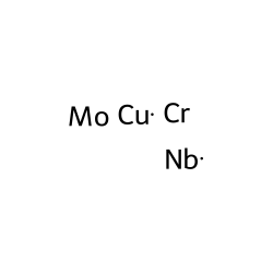 [Cr].[Cu].[Mo].[Nb]